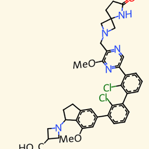 COc1cc(-c2cccc(-c3cccc(-c4cnc(CN5CC6(CCC(=O)N6)C5)c(OC)n4)c3Cl)c2Cl)cc2c1C(N1CC(C(=O)O)C1)CC2